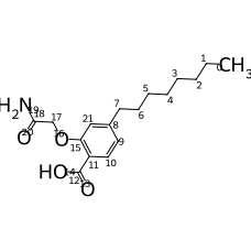 CCCCCCCCc1ccc(C(=O)O)c(OCC(N)=O)c1